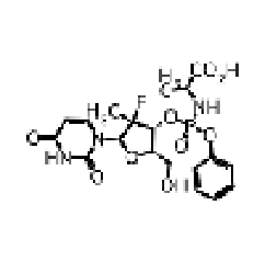 CC(N[P@](=O)(Oc1ccccc1)O[C@@H]1[C@@H](CO)O[C@@H](n2ccc(=O)[nH]c2=O)[C@]1(C)F)C(=O)O